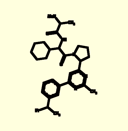 CNC(C)C(=O)NC(C(=O)N1CCCC1c1cc(-c2cccc(C(C)C(C)C)c2)nc(C)n1)C1CCCCC1